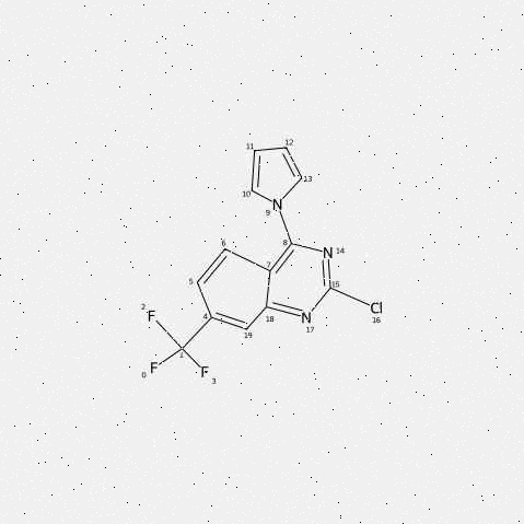 FC(F)(F)c1ccc2c(-n3cccc3)nc(Cl)nc2c1